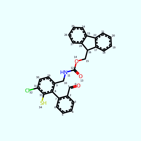 O=Cc1ccccc1-c1c(CNC(=O)OCC2c3ccccc3-c3ccccc32)ccc(Cl)c1S